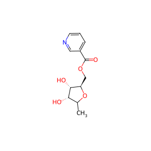 CC1O[C@H](COC(=O)c2cccnc2)[C@@H](O)[C@H]1O